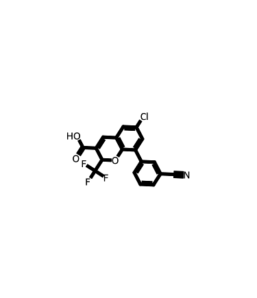 N#Cc1cccc(-c2cc(Cl)cc3c2OC(C(F)(F)F)C(C(=O)O)=C3)c1